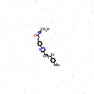 CCCCc1ccc(C(CC)C/C=C(\C)c2cnc(-c3ccc(CCC(=O)N4CC(C(=O)O)C4)cc3)nc2)cc1